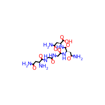 NC(=O)C[C@H](NC(=O)[C@H](CC(N)=O)NC(=O)CNC(=O)CNC(=O)[C@@H](N)CC(N)=O)C(=O)O